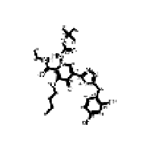 CCCCOc1c(C(=O)NCC)n(NC(=O)OC(C)(C)C)cc(-c2nnc(Cc3ccc(F)cc3F)s2)c1=O